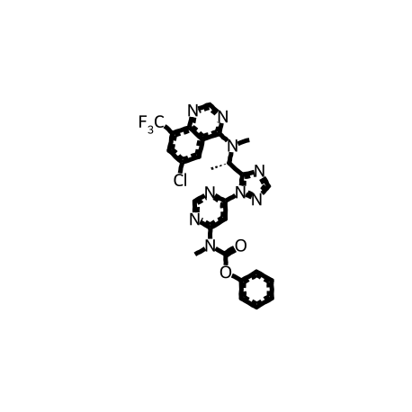 C[C@@H](c1ncnn1-c1cc(N(C)C(=O)Oc2ccccc2)ncn1)N(C)c1ncnc2c(C(F)(F)F)cc(Cl)cc12